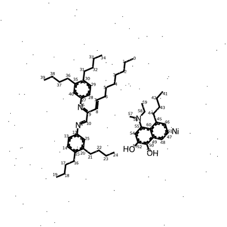 CCCCCCCC=CC(C=Nc1ccc(CCCC)c(CCCC)c1)=Nc1ccc(CCCC)c(CCCC)c1.CCCCc1cccc2c(O)c(O)cc(N(C)CC)c12.[Ni]